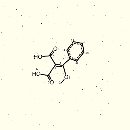 COC(=C(C(=O)O)C(=O)O)c1ccccc1